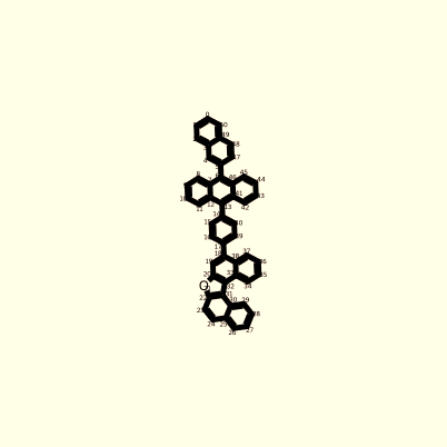 c1ccc2cc(-c3c4ccccc4c(-c4ccc(-c5cc6oc7ccc8ccccc8c7c6c6ccccc56)cc4)c4ccccc34)ccc2c1